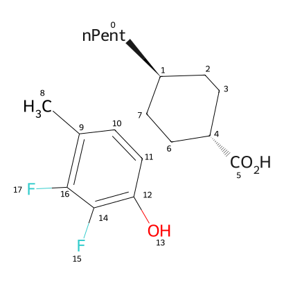 CCCCC[C@H]1CC[C@H](C(=O)O)CC1.Cc1ccc(O)c(F)c1F